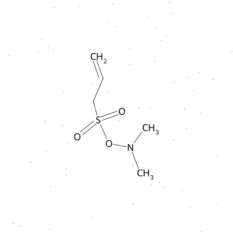 C=CCS(=O)(=O)ON(C)C